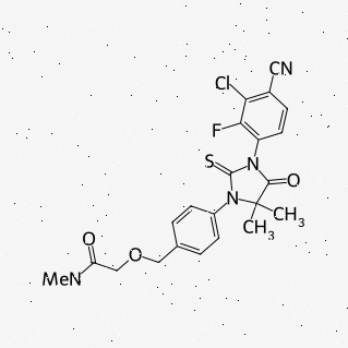 CNC(=O)COCc1ccc(N2C(=S)N(c3ccc(C#N)c(Cl)c3F)C(=O)C2(C)C)cc1